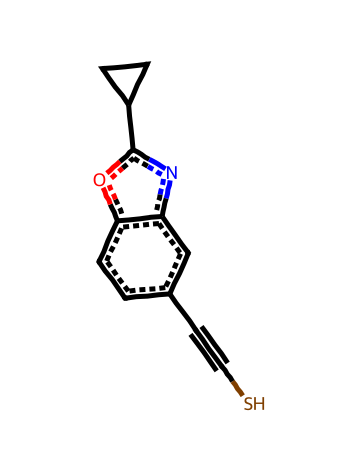 SC#Cc1ccc2oc(C3CC3)nc2c1